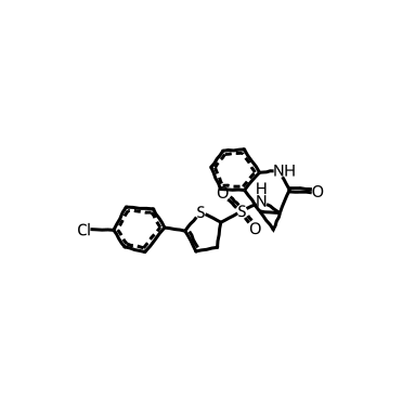 O=C1Nc2ccccc2C2CC12NS(=O)(=O)C1CC=C(c2ccc(Cl)cc2)S1